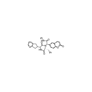 CC(C)C[C@@H]1C(=O)NC(C2Cc3ccccc3C2)C(=O)N1[C@@H](C(=O)NC(C)C)c1ccc2oc(=O)ccc2c1